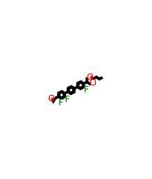 CCCC1OCC(c2ccc(-c3ccc(-c4ccc(C5CO5)c(F)c4F)cc3)cc2F)CO1